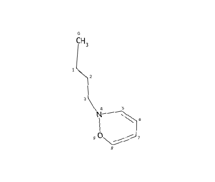 CCCCN1C=CC=CO1